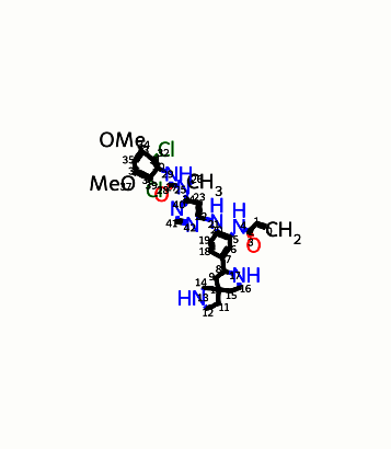 C=CC(=O)Nc1cc(C2CC3(CCNC3)CCN2)ccc1Nc1cc(N(C)C(=O)Nc2c(Cl)c(OC)cc(OC)c2Cl)ncn1